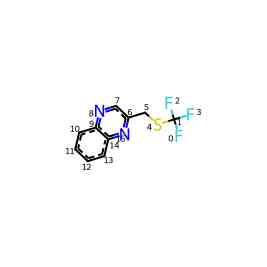 FC(F)(F)SCc1cnc2ccccc2n1